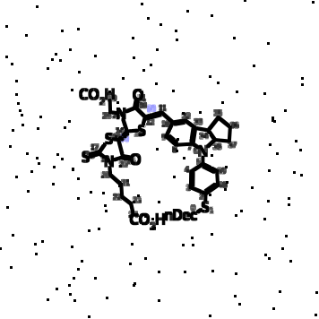 CCCCCCCCCCSc1ccc(N2c3ccc(/C=c4\s/c(=C5/SC(=S)N(CCCCC(=O)O)C5=O)n(CC(=O)O)c4=O)cc3C3CCCC32)cc1